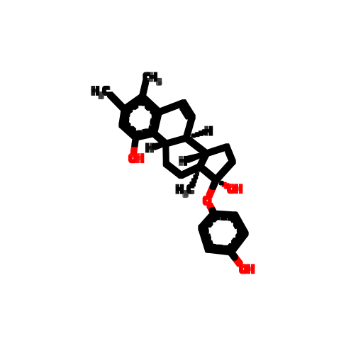 Cc1cc(O)c2c(c1C)C=C[C@@H]1[C@@H]2CC[C@@]2(C)[C@H]1CC[C@@]2(O)Oc1ccc(O)cc1